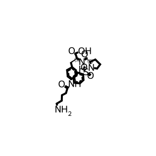 NCCCCC(=O)Nc1ccc(C[C@H](NC(=O)[C@@H]2CCCN2S(=O)(=O)c2ccccc2)C(=O)O)cc1